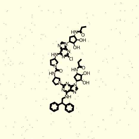 CCC(=O)N[C@H]1C[C@@H](n2cnc3c(NCC(c4ccccc4)c4ccccc4)nc(N4CC[C@@H](NC(=O)N5CC[C@@H](Nc6nc(Cl)nc7c6ncn7[C@@H]6C[C@H](NC(=O)CC)[C@@H](O)[C@H]6O)C5)C4)nc32)[C@H](O)[C@@H]1O